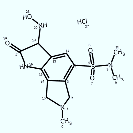 CN1Cc2c(S(=O)(=O)N(C)C)cc3c(c2C1)NC(=O)C3NO.Cl